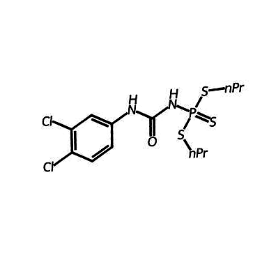 CCCSP(=S)(NC(=O)Nc1ccc(Cl)c(Cl)c1)SCCC